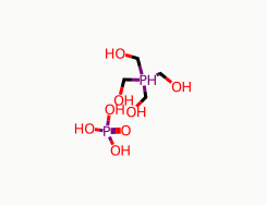 O=P(O)(O)O.OC[PH](CO)(CO)CO